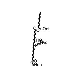 CCCCCCCCCOC(=O)CCCCCCCN(CCCCCCCC(=O)OC(CCCCCCCC)CCCCCCCI)CCCN(O)C(C)=O